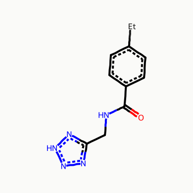 CCc1ccc(C(=O)NCc2nn[nH]n2)cc1